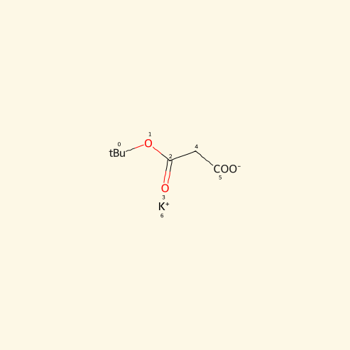 CC(C)(C)OC(=O)CC(=O)[O-].[K+]